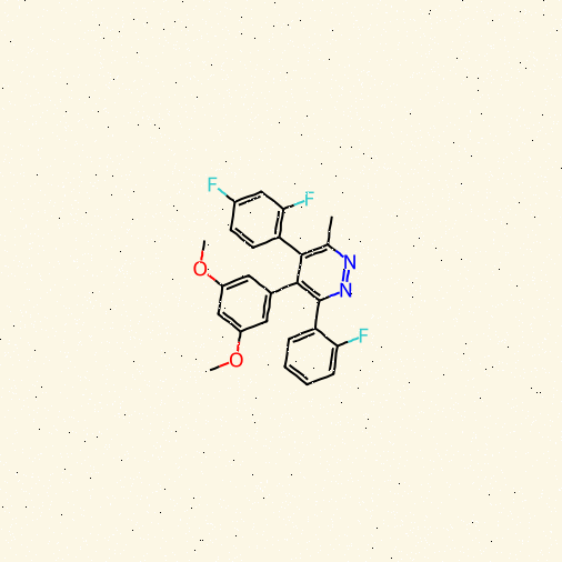 COc1cc(OC)cc(-c2c(-c3ccccc3F)nnc(C)c2-c2ccc(F)cc2F)c1